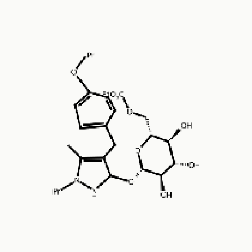 CCOC(=O)OC[C@H]1O[C@@H](OC2NN(C(C)C)C(C)=C2Cc2ccc(OC(C)C)cc2)[C@H](O)[C@@H](O)[C@@H]1O